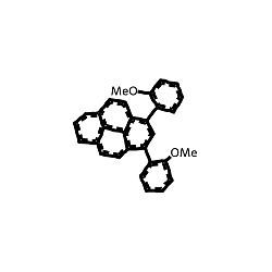 COc1ccccc1-c1cc(-c2ccccc2OC)c2ccc3cccc4ccc1c2c43